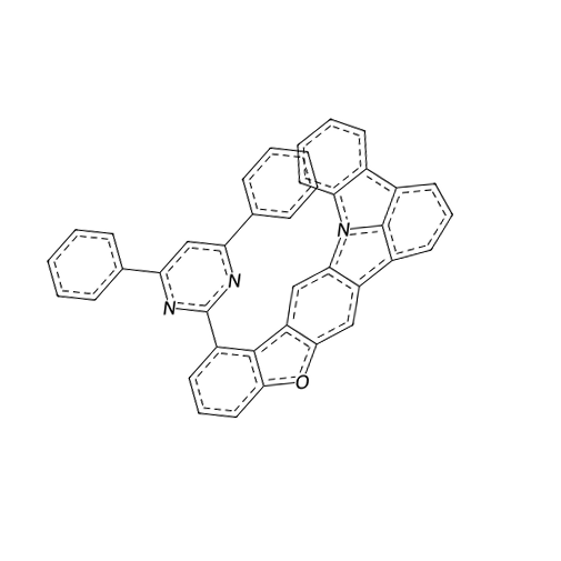 c1ccc(-c2cc(-c3ccccc3)nc(-c3cccc4oc5cc6c7cccc8c9ccccc9n(c6cc5c34)c87)n2)cc1